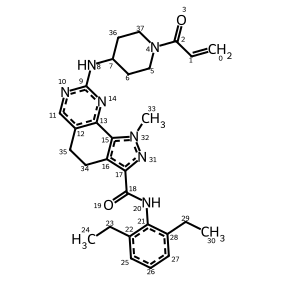 C=CC(=O)N1CCC(Nc2ncc3c(n2)-c2c(c(C(=O)Nc4c(CC)cccc4CC)nn2C)CC3)CC1